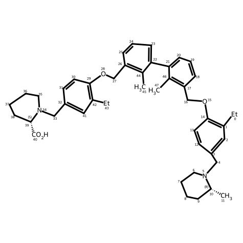 CCc1cc(CN2CCCC[C@H]2C)ccc1OCc1cccc(-c2cccc(COc3ccc(CN4CCCC[C@H]4C(=O)O)cc3CC)c2C)c1C